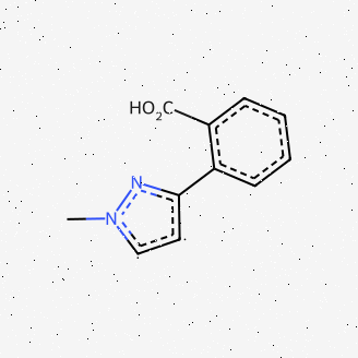 Cn1[c][c]c(-c2ccccc2C(=O)O)n1